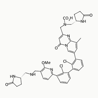 COc1nc(-c2cccc(-c3cccc(-c4cc(C)c5nc(CN(C[C@@H]6CCC(=O)N6)C(=O)O)cc(=O)n5c4)c3Cl)c2Cl)ccc1CNC[C@@H]1CCC(=O)N1